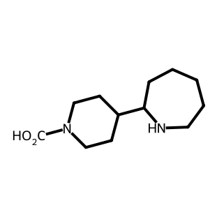 O=C(O)N1CCC(C2CCCCCN2)CC1